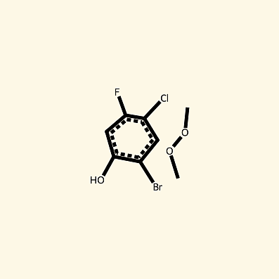 COOC.Oc1cc(F)c(Cl)cc1Br